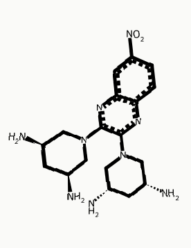 N[C@@H]1C[C@H](N)CN(c2nc3ccc([N+](=O)[O-])cc3nc2N2C[C@H](N)C[C@H](N)C2)C1